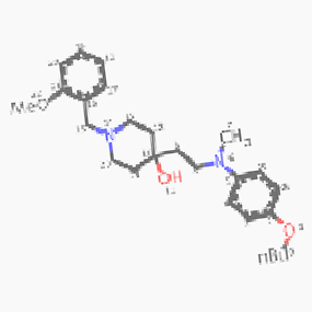 CCCCOc1ccc(N(C)CCC2(O)CCN(Cc3ccccc3OC)CC2)cc1